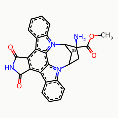 COC(=O)[C@]1(N)CC2CC1n1c3ccccc3c3c4c(c5c6ccccc6n2c5c31)C(=O)NC4=O